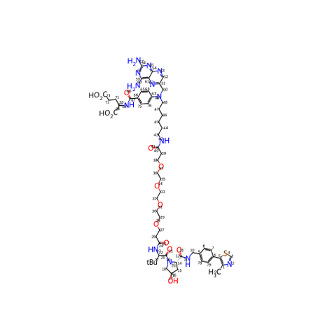 Cc1ncsc1-c1ccc(CNC(=O)[C@@H]2C[C@@H](O)CN2C(=O)C(NC(=O)CCOCCOCCOCCOCCC(=O)NCCCCCCN(Cc2cnc3nc(N)nc(N)c3n2)c2ccc(C(=O)N[C@H](CCC(=O)O)C(=O)O)cc2)C(C)(C)C)cc1